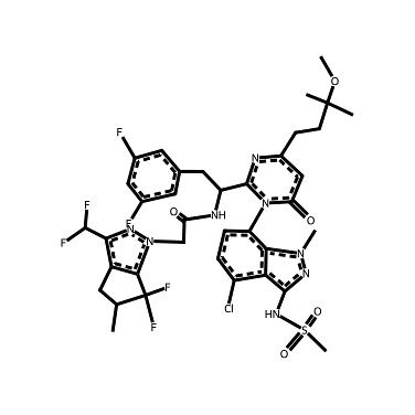 COC(C)(C)CCc1cc(=O)n(-c2ccc(Cl)c3c(NS(C)(=O)=O)nn(C)c23)c(C(Cc2cc(F)cc(F)c2)NC(=O)Cn2nc(C(F)F)c3c2C(F)(F)C(C)C3)n1